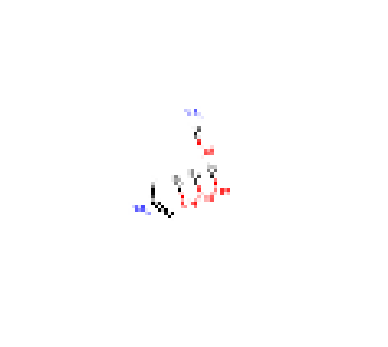 C=CC.CCO.CCO.CCO.CCO.N.N